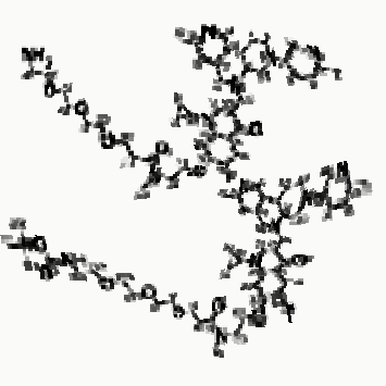 Cc1ccc(N2CCC[C@H](N(Cc3ccnc(C)c3)Cc3cn(C4CC4)c4cc(OCCN(C)C(=O)CCOCCOCCOCCN)c(F)cc4c3=O)C2)cn1.Cc1ccc(N2CCC[C@H](N(Cc3ccnc(C)c3)Cc3cn(C4CC4)c4cc(OCCN(C)C(=O)CCOCCOCCOCCNC(=O)OC(C)(C)C)c(F)cc4c3=O)C2)cn1